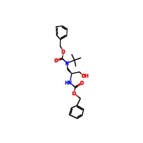 CC(C)(C)N(C[C@@H](CO)NC(=O)OCc1ccccc1)C(=O)OCc1ccccc1